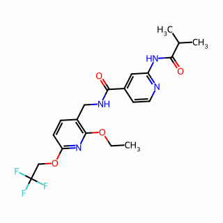 CCOc1nc(OCC(F)(F)F)ccc1CNC(=O)c1ccnc(NC(=O)C(C)C)c1